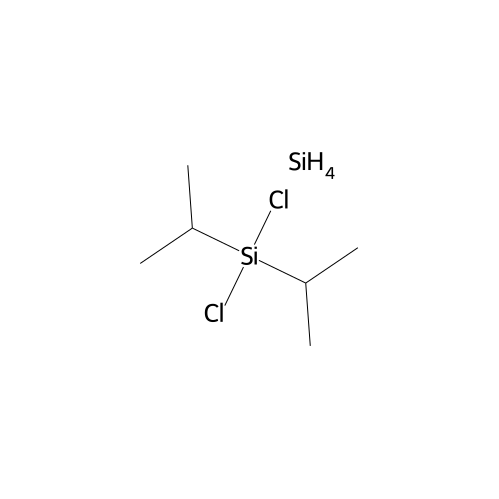 CC(C)[Si](Cl)(Cl)C(C)C.[SiH4]